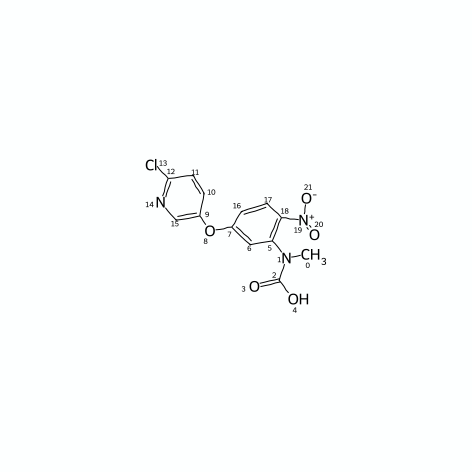 CN(C(=O)O)c1cc(Oc2ccc(Cl)nc2)ccc1[N+](=O)[O-]